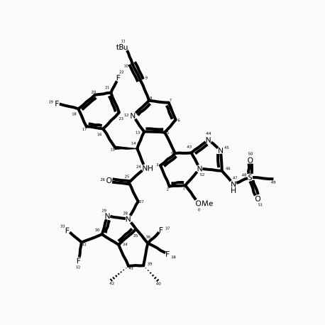 COc1ccc(-c2ccc(C#CC(C)(C)C)nc2[C@H](Cc2cc(F)cc(F)c2)NC(=O)Cn2nc(C(F)F)c3c2C(F)(F)[C@H](C)[C@@H]3C)c2nnc(NS(C)(=O)=O)n12